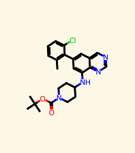 Cc1cccc(Cl)c1-c1cc(NC2CCN(C(=O)OC(C)(C)C)CC2)c2ncncc2c1